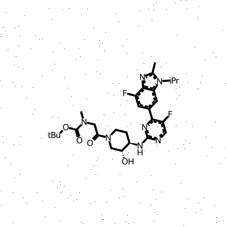 Cc1nc2c(F)cc(-c3nc(N[C@@H]4CCN(C(=O)CN(C)C(=O)OC(C)(C)C)C[C@H]4O)ncc3F)cc2n1C(C)C